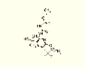 CCOC(=O)NC(=S)Nc1nc(O[C@@H](C)C(F)(F)F)ccc1C(C)(C)O